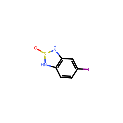 [O-][S+]1Nc2ccc(I)cc2N1